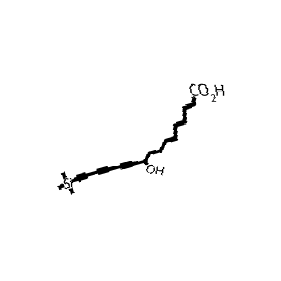 C[Si](C)(C)C#CC#CC#CC(O)CCCCCCCCC(=O)O